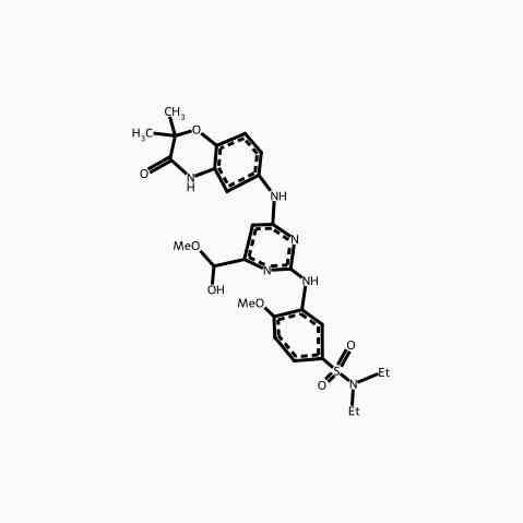 CCN(CC)S(=O)(=O)c1ccc(OC)c(Nc2nc(Nc3ccc4c(c3)NC(=O)C(C)(C)O4)cc(C(O)OC)n2)c1